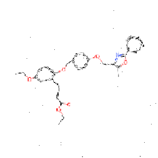 CCOC(=O)CCc1cc(OCC)ccc1OCc1ccc(OCc2nc(-c3ccccc3)oc2C)cc1